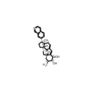 C[C@H]1C[C@@]23CC[C@@]4(O2)C(=CC[C@]2(C)[C@@H](c5ccc6ccncc6c5)CC[C@H]24)C=C3[C@@H](O)[C@@H]1O